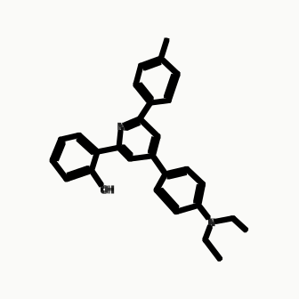 CCN(CC)c1ccc(-c2cc(-c3ccc(C)cc3)nc(-c3ccccc3O)c2)cc1